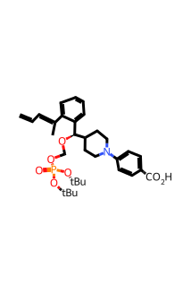 C=C/C=C(\C)c1ccccc1[C@H](OCOP(=O)(OC(C)(C)C)OC(C)(C)C)C1CCN(c2ccc(C(=O)O)cc2)CC1